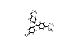 C=Cc1ccc(N(c2ccc(C(C)C)cc2)C2C=CC(C)=CC2)cc1